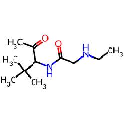 CCNCC(=O)NC(C(C)=O)C(C)(C)C